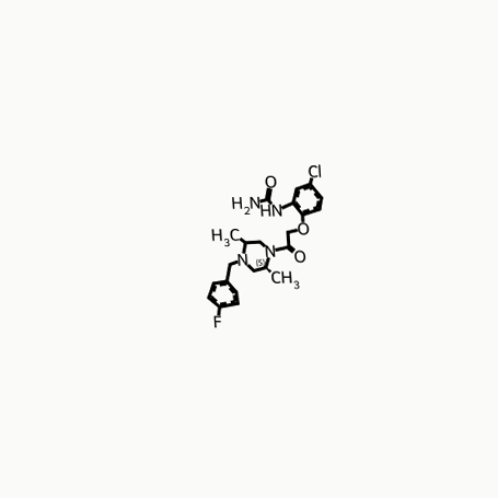 CC1CN(C(=O)COc2ccc(Cl)cc2NC(N)=O)[C@@H](C)CN1Cc1ccc(F)cc1